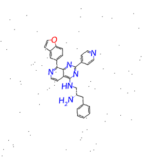 N[C@H](CNc1nc(-c2ccncc2)nc2c(-c3ccc4occc4c3)nccc12)Cc1ccccc1